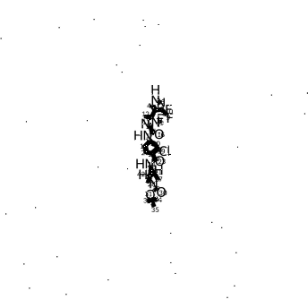 Cn1c(-c2c[nH]nc2C(F)(F)F)cnc1C(=O)Nc1ccc(C(=O)N[C@@H]2[C@@H]3CN(C(=O)OC(C)(C)C)C[C@@H]32)c(Cl)c1